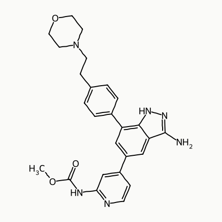 COC(=O)Nc1cc(-c2cc(-c3ccc(CCN4CCOCC4)cc3)c3[nH]nc(N)c3c2)ccn1